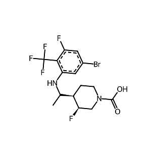 CC(Nc1cc(Br)cc(F)c1C(F)(F)F)[C@H]1CCN(C(=O)O)C[C@H]1F